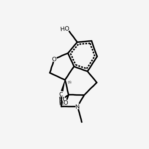 CCC1(O)C2Cc3ccc(O)c4c3[C@@]1(CCN2C)CO4